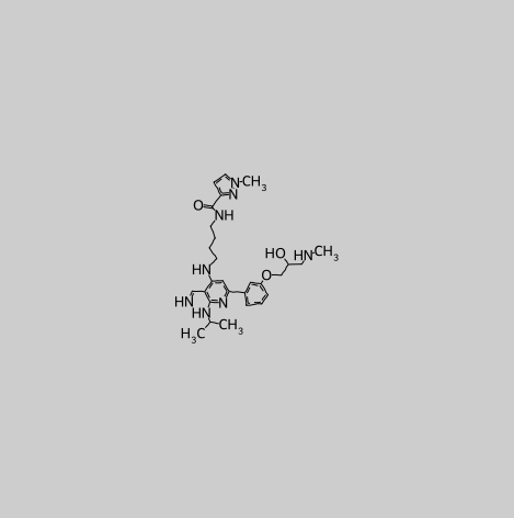 CNCC(O)COc1cccc(-c2cc(NCCCCNC(=O)c3ccn(C)n3)c(C=N)c(NC(C)C)n2)c1